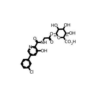 O=C(CNC(=O)c1ncc(-c2cccc(Cl)c2)cc1O)O[C@H]1OC(C(=O)O)[C@H](O)C(O)C1O